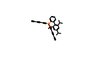 C#CC#CC#CP(C#CC#CC#C)c1ccccc1-c1c(C(C)C)cc(C(C)C)cc1C(C)C